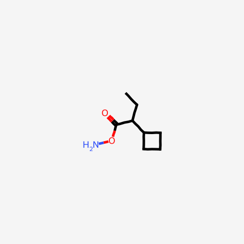 CCC(C(=O)ON)C1CCC1